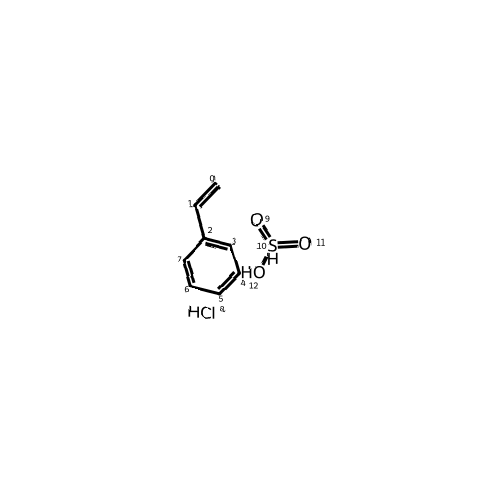 C=Cc1ccccc1.Cl.O=[SH](=O)O